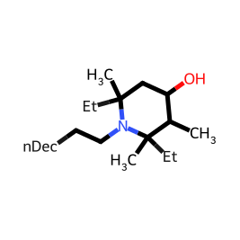 CCCCCCCCCCCCN1C(C)(CC)CC(O)C(C)C1(C)CC